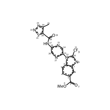 COC(=O)c1ccc2c(c1)nc(C(F)(F)F)n2-c1cnc(NC(=O)c2snnc2C)cn1